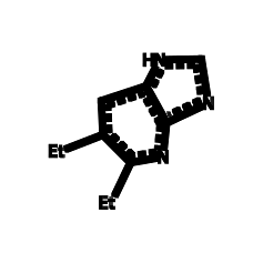 CCc1cc2[nH]cnc2nc1CC